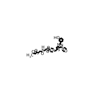 CC(C)=CC(=O)CCC(=O)NCCS(=O)(=O)N1CCN(Cc2cc3nc(-c4cccc(O)c4)nc(N4CCOCC4)c3s2)CC1